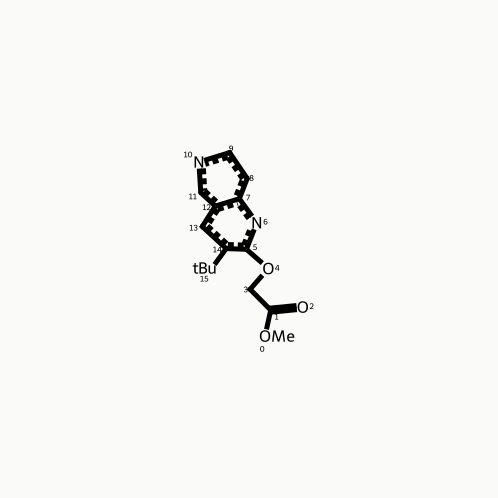 COC(=O)COc1nc2ccncc2cc1C(C)(C)C